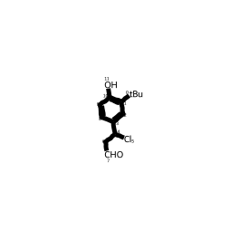 CC(C)(C)c1cc(C(Cl)CC=O)ccc1O